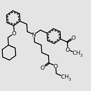 CCOC(=O)CCCCN(CCc1ccccc1OCC1CCCCC1)Cc1ccc(C(=O)OC)cc1